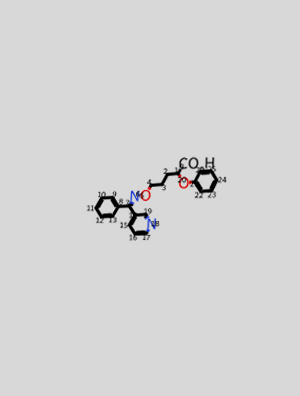 O=C(O)C(CCCON=C(c1ccccc1)c1cccnc1)Oc1ccccc1